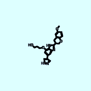 COc1ccc2c(c1)CC(c1nc3cc(-c4cn[nH]c4)cc(OCCCO)c3[nH]1)CO2